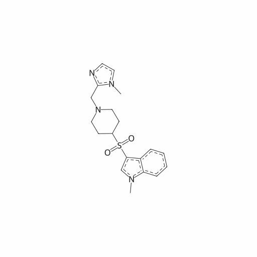 Cn1ccnc1CN1CCC(S(=O)(=O)c2cn(C)c3ccccc23)CC1